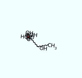 CCCCCC[C@@H](O)C/C=C\CCCCCCCC(=O)C(CC(=O)O)(C(=O)O)S(=O)(=O)O